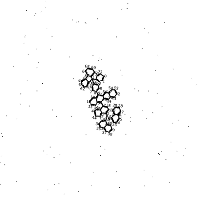 c1ccc(C2(c3ccc(-c4c5ccccc5c(-c5ccc(N(c6cccc7ccccc67)c6cccc7ccccc67)c6ccccc56)c5cc6ccccc6cc45)cc3)c3ccccc3-c3ccccc32)cc1